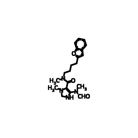 CN(C=O)C1=C(C(=O)N(C)CCCCc2cc3ccccc3o2)N(C)CN1